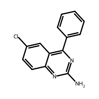 Nc1nc(-c2ccccc2)c2cc(Cl)ccc2n1